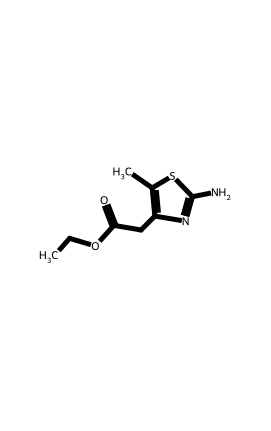 CCOC(=O)Cc1nc(N)sc1C